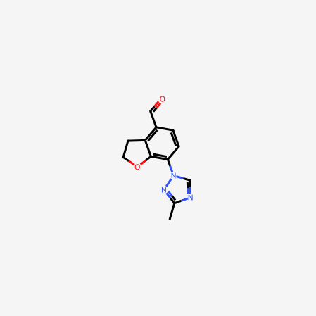 Cc1ncn(-c2ccc(C=O)c3c2OCC3)n1